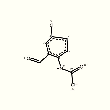 O=Cc1cc(Cl)ccc1NC(=O)O